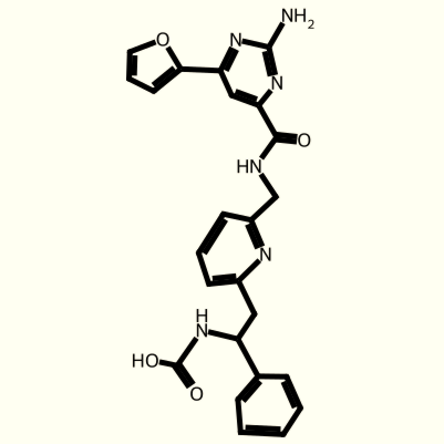 Nc1nc(C(=O)NCc2cccc(CC(NC(=O)O)c3ccccc3)n2)cc(-c2ccco2)n1